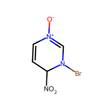 O=[N+]([O-])C1C=C[N+]([O-])=CN1Br